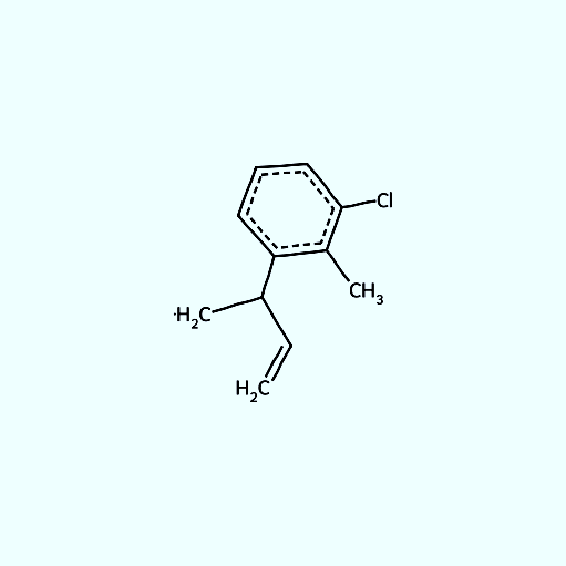 [CH2]C(C=C)c1cccc(Cl)c1C